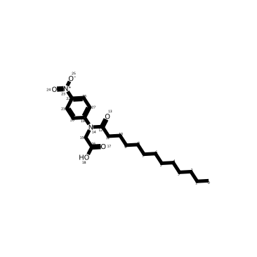 CCCCCCCCCCCCC(=O)N(CC(=O)O)c1ccc([N+](=O)[O-])cc1